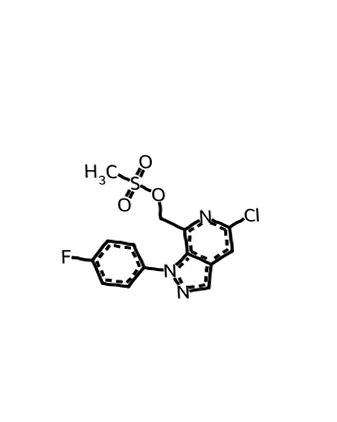 CS(=O)(=O)OCc1nc(Cl)cc2cnn(-c3ccc(F)cc3)c12